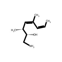 C/C=C\C(C)=C/[C@@H](C)[C@H](O)CN